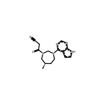 C[C@@H]1CCN(c2ncnc3[nH]ccc23)CN(C(=O)CC#N)C1